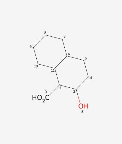 O=C(O)C1C(O)CCC2CCCCC21